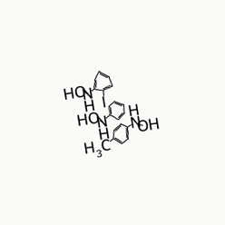 Cc1ccc(NO)cc1.ONc1ccccc1.ONc1ccccc1I